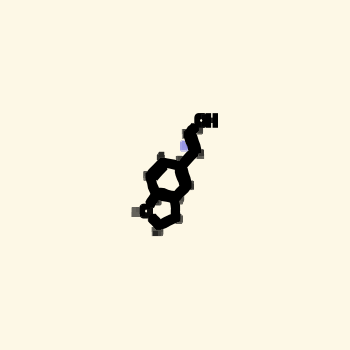 O/C=C/c1ccc2c(c1)CCO2